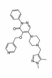 Cc1c(CN2CCN(c3cnn(-c4ccccc4)c(=O)c3OCc3ccncc3)CC2)cnn1C